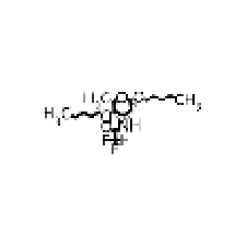 CCCCCO[C@@H]1C[C@H](NC(=O)C(F)(F)F)[C@H](OCCCCC)[C@@H](C)O1